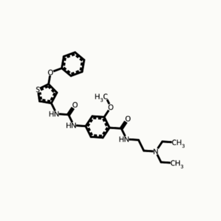 CCN(CC)CCNC(=O)c1ccc(NC(=O)Nc2csc(Oc3ccccc3)c2)cc1OC